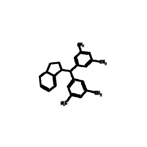 Cc1cc(C)cc(C(c2cc(C)cc(C)c2)C2CCC3CC=CC=C32)c1